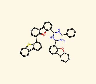 NC(NC(NCc1ccccc1)c1cccc2c1oc1c(-c3cccc4c3sc3ccccc34)cccc12)c1cccc2c1OC1C=CC=CC21